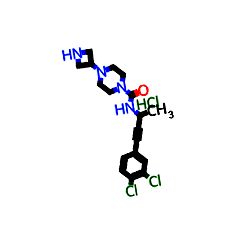 CC(C#Cc1ccc(Cl)c(Cl)c1)NC(=O)N1CCN(C2CNC2)CC1.Cl